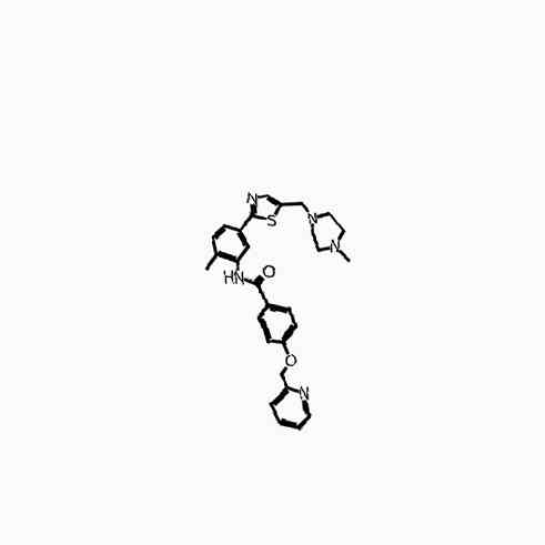 Cc1ccc(-c2ncc(CN3CCN(C)CC3)s2)cc1NC(=O)c1ccc(OCc2ccccn2)cc1